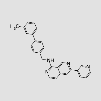 Cc1cccc(-c2ccc(CNc3nccc4cc(-c5cccnc5)ncc34)cc2)c1